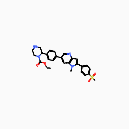 Cn1c(-c2ccc(S(C)(=O)=O)cc2)cc2ncc(-c3ccc(C4CNCCN4C(=O)OC(C)(C)C)cc3)cc21